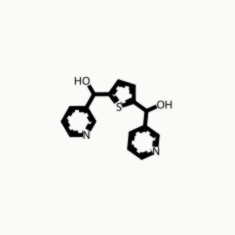 OC(c1cccnc1)c1ccc(C(O)c2cccnc2)s1